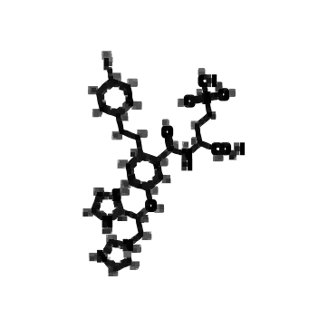 CS(=O)(=O)CCC(NC(=O)c1cc(OC(Cn2ccnc2)c2nccs2)ccc1CCc1ccc(F)cc1)C(=O)O